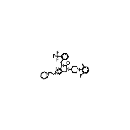 Cc1cccc(F)c1N1CCC(N2Cc3cn(CCN4CCCCC4)nc3N(Cc3ccccc3C(F)(F)F)C2=O)CC1